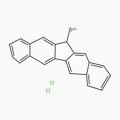 [Cl-].[Cl-].[Zr+2][CH]1c2cc3ccccc3cc2-c2cc3ccccc3cc21